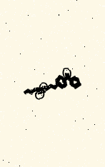 CCCCC(=O)OCCCc1ccc(C(=O)c2ccccc2)cc1